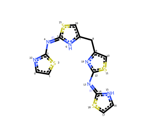 c1csc(/N=c2\[nH]c(Cc3csc(/N=c4\[nH]ccs4)n3)cs2)n1